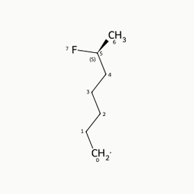 [CH2]CCCC[C@H](C)F